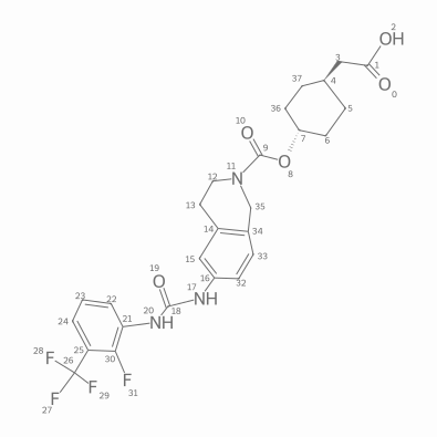 O=C(O)C[C@H]1CC[C@H](OC(=O)N2CCc3cc(NC(=O)Nc4cccc(C(F)(F)F)c4F)ccc3C2)CC1